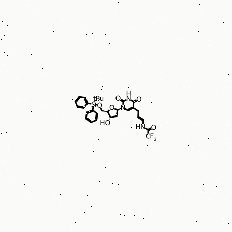 CC(C)(C)[Si](OC[C@H]1O[C@@H](n2cc(CC=CNC(=O)C(F)(F)F)c(=O)[nH]c2=O)C[C@@H]1O)(c1ccccc1)c1ccccc1